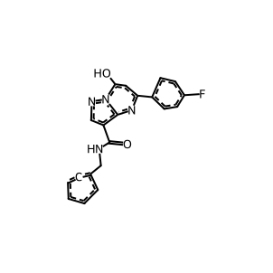 O=C(NCc1ccccc1)c1cnn2c(O)cc(-c3ccc(F)cc3)nc12